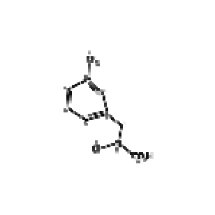 O=C(O)N(Cl)Cc1cccc(C(F)(F)F)c1